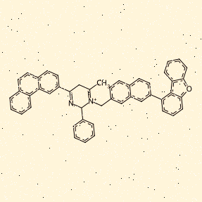 CC1=[N+](Cc2ccc3ccc(-c4cccc5oc6ccccc6c45)cc3c2)C(c2ccccc2)N=C(c2ccc3ccc4ccccc4c3c2)C1